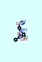 CN1CCN(C(=O)c2ccc3nc(-c4ccc(Cl)c5c4C(=O)N(C(C)(C)c4ccccc4)C5O)[nH]c3c2)CC1